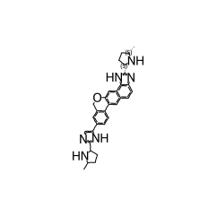 CC1CCC(c2ncc(-c3ccc4c(c3)COc3cc5c(ccc6nc([C@@H]7CC[C@H](C)N7)[nH]c65)cc3-4)[nH]2)N1